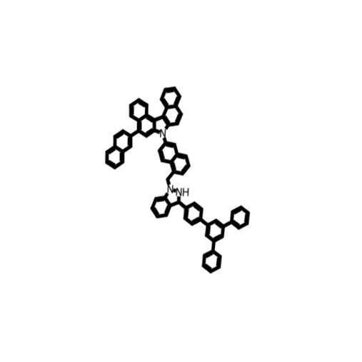 c1ccc(-c2cc(-c3ccccc3)cc(-c3ccc(C4NN(Cc5cccc6cc(-n7c8ccc9ccccc9c8c8c9ccccc9c(-c9ccc%10ccccc%10c9)cc87)ccc56)c5ccccc54)cc3)c2)cc1